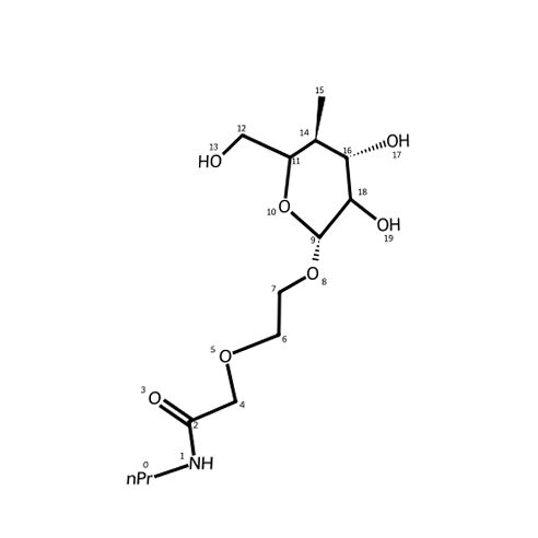 CCCNC(=O)COCCO[C@@H]1OC(CO)[C@@H](C)[C@H](O)C1O